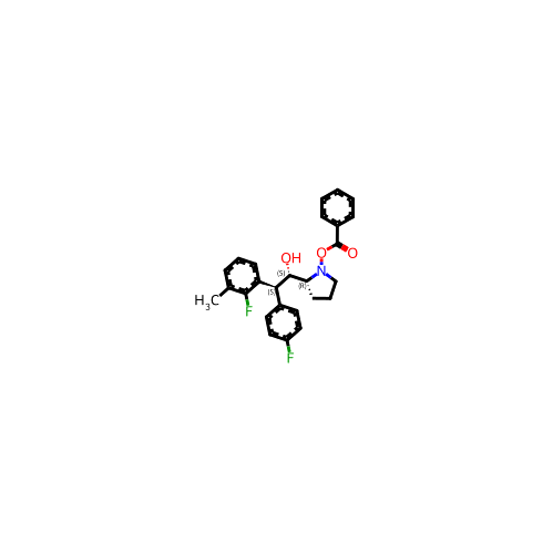 Cc1cccc([C@H](c2ccc(F)cc2)[C@H](O)[C@H]2CCCN2OC(=O)c2ccccc2)c1F